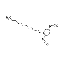 CCCCCCCCCCCCc1cc(N=C=O)ccc1N=C=O